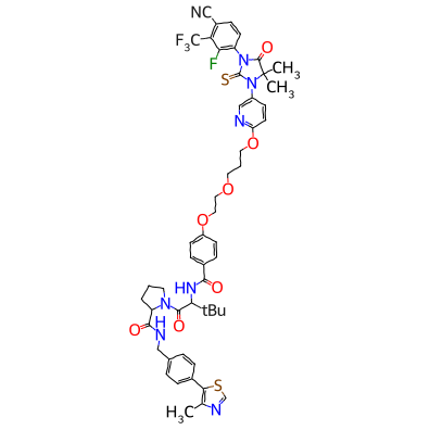 Cc1ncsc1-c1ccc(CNC(=O)C2CCCN2C(=O)C(NC(=O)c2ccc(OCCOCCCOc3ccc(N4C(=S)N(c5ccc(C#N)c(C(F)(F)F)c5F)C(=O)C4(C)C)cn3)cc2)C(C)(C)C)cc1